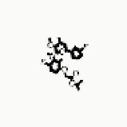 COc1c(C)cc(-c2cccc(F)c2)cc1N(C)c1c(F)ccc(OCC(=O)OC(C)C)c1C